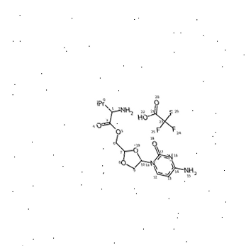 CC(C)C(N)C(=O)OCC1OCC(n2ccc(N)nc2=O)O1.O=C(O)C(F)(F)F